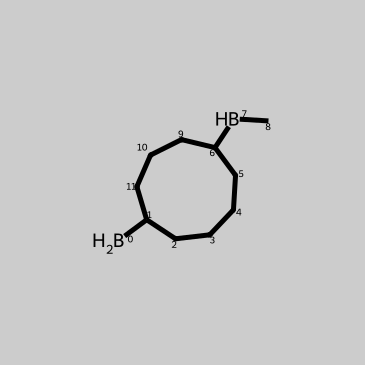 BC1CCCCC(BC)CCC1